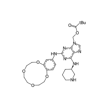 CC(C)(C)C(=O)OCn1cnc2c(N[C@@H]3CCCNC3)nc(Nc3ccc4c(c3)OCCOCCOCCO4)nc21